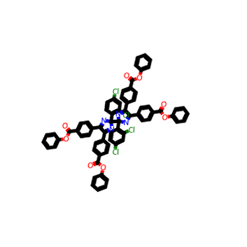 O=C(Oc1ccccc1)c1ccc(C2=NC(c3ccc(Cl)cc3Cl)(C3(c4ccc(Cl)cc4Cl)N=C(c4ccc(C(=O)Oc5ccccc5)cc4)C(c4ccc(C(=O)Oc5ccccc5)cc4)=N3)N=C2c2ccc(C(=O)Oc3ccccc3)cc2)cc1